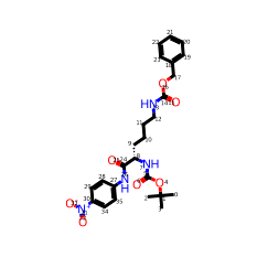 CC(C)(C)OC(=O)N[C@@H](CCCCNC(=O)OCc1ccccc1)C(=O)Nc1ccc([N+](=O)[O-])cc1